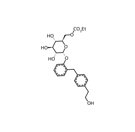 CCOC(=O)OC[C@H]1O[C@H](Oc2ccccc2Cc2ccc(CCO)cc2)[C@H](O)[C@@H](O)[C@@H]1O